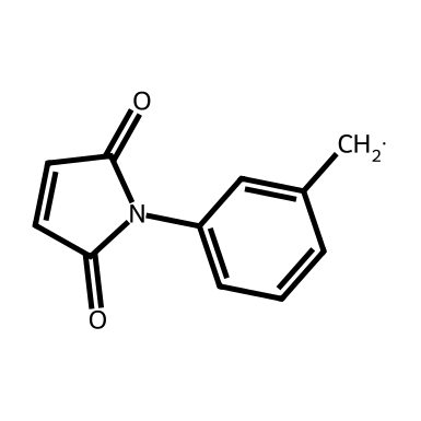 [CH2]c1cccc(N2C(=O)C=CC2=O)c1